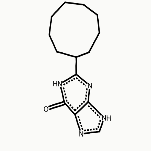 O=c1[nH]c(C2CCCCCCCC2)nc2[nH]cnc12